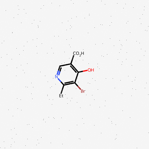 CCc1ncc(C(=O)O)c(O)c1Br